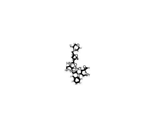 CC(C)CC(NC(=O)c1cc(CN2CCOC[C@@H]2C)on1)C(=O)N[C@@H](Cc1ccccc1)C(=O)NC(CC(C)C)C(=O)[C@@]1(C)CO1